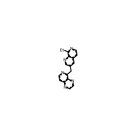 CCc1nccc2cc(Cc3nccc4nccnc34)cnc12